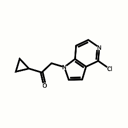 O=C(Cn1ccc2c(Cl)nccc21)C1CC1